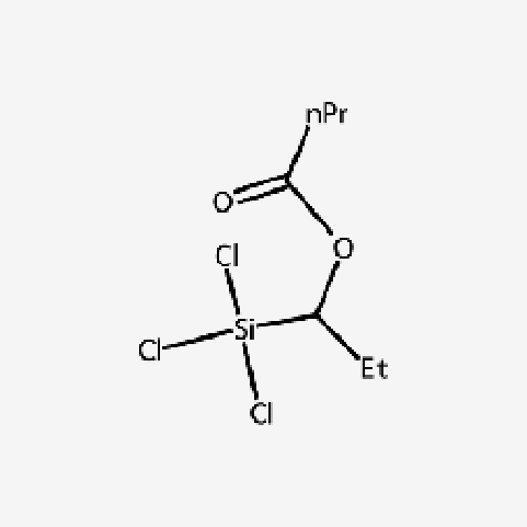 CCCC(=O)OC(CC)[Si](Cl)(Cl)Cl